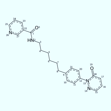 O=C(NCCCCCCc1ccc(-n2ncccc2=O)cc1)c1cccnc1